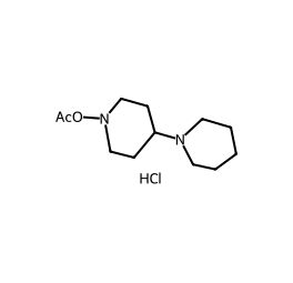 CC(=O)ON1CCC(N2CCCCC2)CC1.Cl